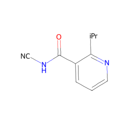 CC(C)c1ncccc1C(=O)NC#N